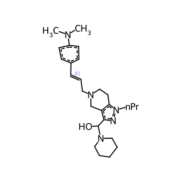 CCCn1nc(C(O)N2CCCCC2)c2c1CCN(C/C=C/c1ccc(N(C)C)cc1)C2